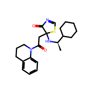 C[C@@H](NC1(CC(=O)N2CCCc3ccccc32)SC=NC1=O)C1CCCCC1